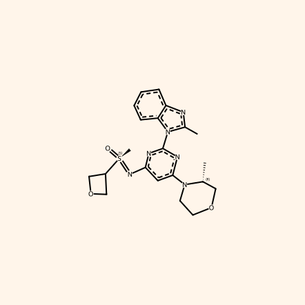 Cc1nc2ccccc2n1-c1nc(N=[S@@](C)(=O)C2COC2)cc(N2CCOC[C@H]2C)n1